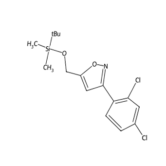 CC(C)(C)[Si](C)(C)OCc1cc(-c2ccc(Cl)cc2Cl)no1